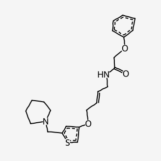 O=C(COc1ccccc1)NC/C=C/COc1csc(CN2CCCCC2)c1